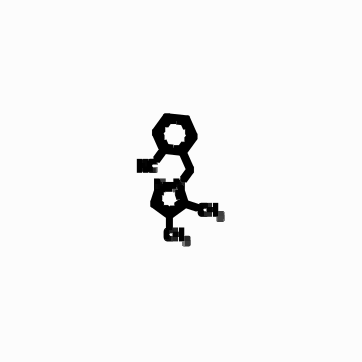 Cc1cnn(Cc2ccccc2C#N)c1C